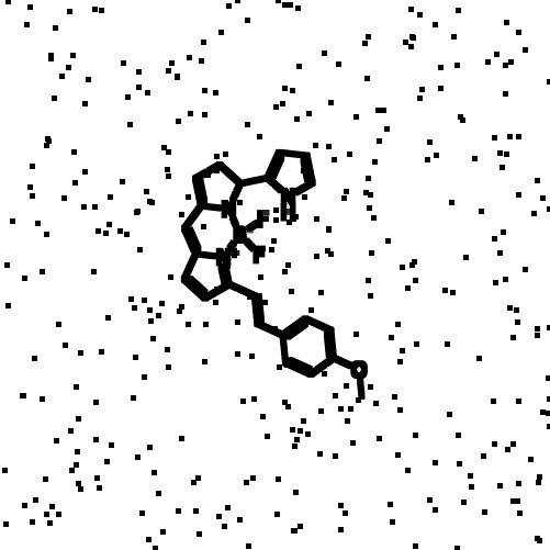 COc1ccc(/C=C/C2=[N+]3C(=CC4=CCC(c5ccc[nH]5)N4[B-]3(F)F)C=C2)cc1